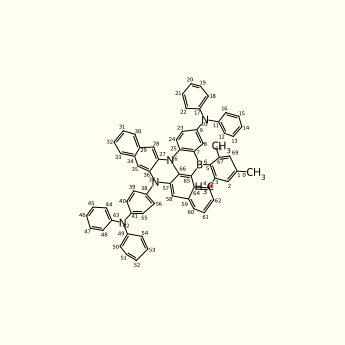 Cc1cc(C)c(B2c3cc(N(c4ccccc4)c4ccccc4)ccc3N3c4cc5ccccc5cc4N(c4ccc(N(c5ccccc5)c5ccccc5)cc4)c4cc5ccccc5c2c43)c(C)c1